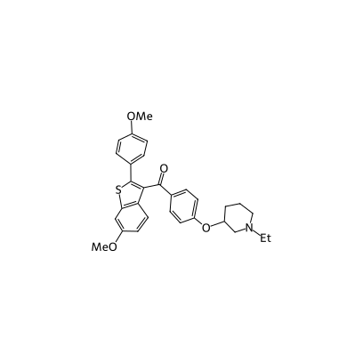 CCN1CCCC(Oc2ccc(C(=O)c3c(-c4ccc(OC)cc4)sc4cc(OC)ccc34)cc2)C1